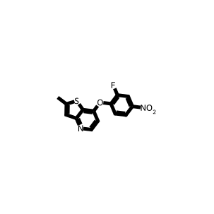 Cc1cc2nccc(Oc3ccc([N+](=O)[O-])cc3F)c2s1